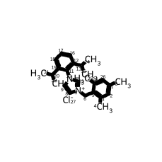 Cc1cc(C)c(C[n+]2ccn(-c3c(C(C)C)cccc3C(C)C)c2)c(C)c1.[Cl-]